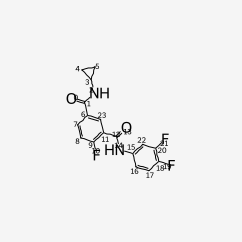 O=C(NC1CC1)c1ccc(F)c(C(=O)Nc2ccc(F)c(F)c2)c1